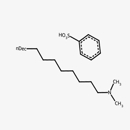 CCCCCCCCCCCCCCCCCCN(C)C.O=S(=O)(O)c1ccccc1